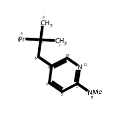 CNc1ccc(CC(C)(C)C(C)C)cn1